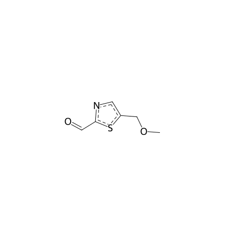 COCc1cnc(C=O)s1